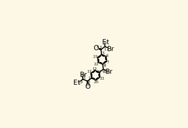 CCC(Br)C(=O)c1ccc(C(Br)c2ccc(C(=O)C(Br)CC)cc2)cc1